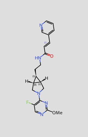 COc1ncc(F)c(N2C[C@@H]3[C@@H](CCNC(=O)/C=C/c4cccnc4)[C@@H]3C2)n1